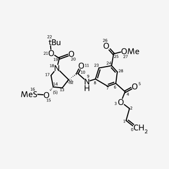 C=CCOC(=O)c1cc(NC(=O)[C@@H]2C[C@H](OSC)CN2C(=O)OC(C)(C)C)cc(C(=O)OC)c1